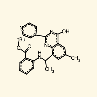 Cc1cc(C(C)Nc2ccccc2C(=O)OC(C)(C)C)c2nc(-c3ccncc3)nc(O)c2c1